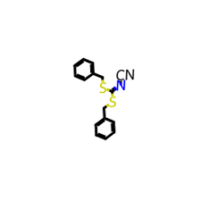 N#CN=C(SCc1ccccc1)SCc1ccccc1